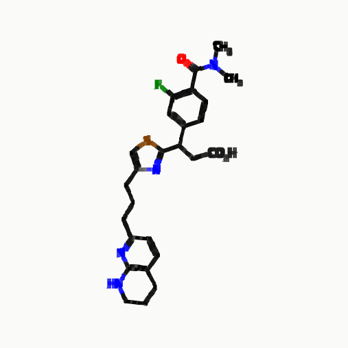 CN(C)C(=O)c1ccc(C(CC(=O)O)c2nc(CCCc3ccc4c(n3)NCCC4)cs2)cc1F